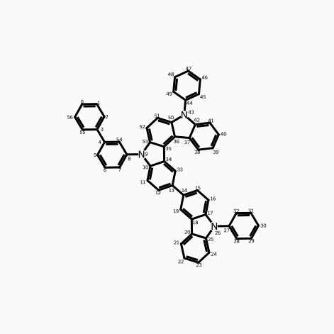 c1ccc(-c2cccc(-n3c4ccc(-c5ccc6c(c5)c5ccccc5n6-c5ccccc5)cc4c4c5c6ccccc6n(-c6ccccc6)c5ccc43)c2)cc1